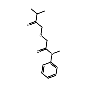 CC(C)C(=O)COCC(=O)N(C)c1ccccc1